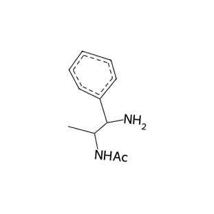 CC(=O)NC(C)C(N)c1ccccc1